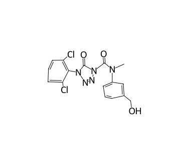 CN(C(=O)n1nnn(-c2c(Cl)cccc2Cl)c1=O)c1cccc(CO)c1